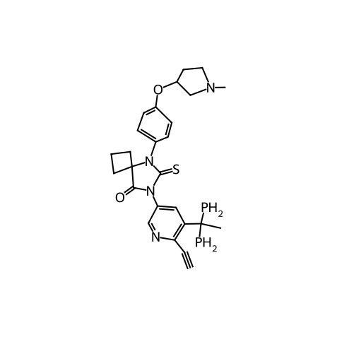 C#Cc1ncc(N2C(=O)C3(CCC3)N(c3ccc(OC4CCN(C)C4)cc3)C2=S)cc1C(C)(P)P